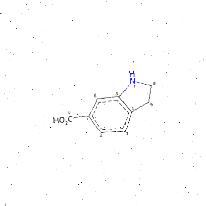 O=C(O)c1ccc2c(c1)NCC2